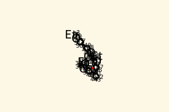 CCC(C)(C)Oc1ccc(-c2ccc(OC(=O)C(C)(CC)C(C)(CC)Oc3ccc(C4(c5ccc(OC(=O)C(C)(C)CC)cc5)CCCCC4)cc3)cc2)cc1